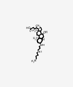 C[C@H](CCC(=O)O)[C@H]1CCC2C3C(CC[C@@]21C)[C@@]1(C)CC[C@H](NCCCNCCCCN)C[C@@H]1C[C@H]3O